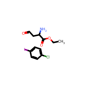 CCOC(=O)C(N)CC=O.Clc1ccc(I)cc1